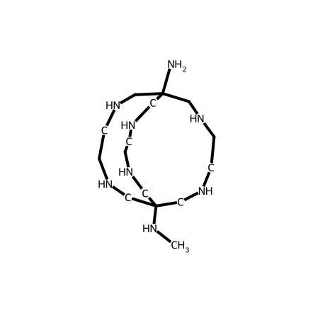 CNC12CNCCNCC(N)(CNCCNC1)CNCCNC2